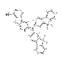 CC(C)(C)c1cccc2c1oc1ccc(N(c3ccc4c(c3)C(C)(C)c3ccccc3-4)c3ccc4c(c3)C(C)(C)c3ccccc3-4)cc12